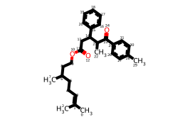 CC(C)=CCCC(C)CCOC(=O)CC(c1ccccc1)C(C)C(=O)c1ccc(C)cc1